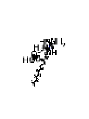 CCCCCCCCCCCCN/C(N)=N/C(=N)N.O=[N+]([O-])O